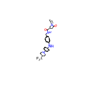 CCN1CC(C(=O)NCc2ccc(Nc3ccc(N4CCC(C(F)(F)F)CC4)cc3)cc2)CC1=O